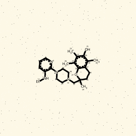 CCNc1cccnc1N1CCN(CC2(C)CCc3c(C)c(O)c(C)c(C)c3O2)CC1